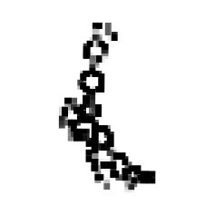 COc1cc(-c2nn([C@H]3CC[C@H](N4CCN(C)CC4)CC3)c3ncnc(N)c23)ccc1NCc1c[nH]nc1C